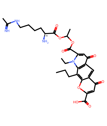 CCCc1c2oc(C(=O)O)cc(=O)c2cc2c(=O)cc(C(=O)OC(C)OC(=O)[C@@H](N)CCCCNC(C)=N)n(CC)c12